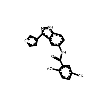 N#Cc1ccc(O)c(C(=O)Nc2ccc3[nH]nc(-c4ccoc4)c3c2)c1